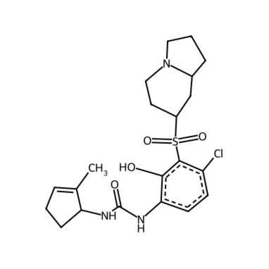 CC1=CCCC1NC(=O)Nc1ccc(Cl)c(S(=O)(=O)C2CCN3CCCC3C2)c1O